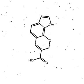 O=C(O)C1=Cc2ccc3cc[se]c3c2OC1